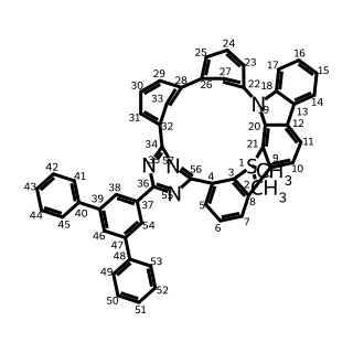 CS1(C)c2c3cccc2-c2ccc4c5ccccc5n(c4c21)-c1cccc(c1)-c1cccc(c1)-c1nc(-c2cc(-c4ccccc4)cc(-c4ccccc4)c2)nc-3n1